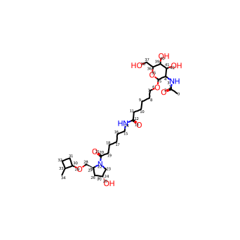 CC(=O)NC1C(OCCCCCC(=O)NCCCCCC(=O)N2C[C@H](O)C[C@H]2COC2CCC2C)OC(CO)C(O)C1O